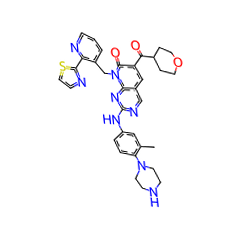 Cc1cc(Nc2ncc3cc(C(=O)C4CCOCC4)c(=O)n(Cc4cccnc4-c4nccs4)c3n2)ccc1N1CCNCC1